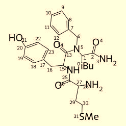 CCC(C)C(C(N)=O)N(Cc1ccccc1)C(=O)C(Cc1ccc(O)cc1)NC(=O)C(N)CCSC